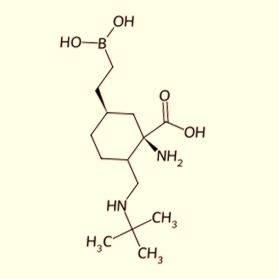 CC(C)(C)NCC1CC[C@@H](CCB(O)O)C[C@]1(N)C(=O)O